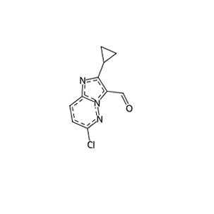 O=Cc1c(C2CC2)nc2ccc(Cl)nn12